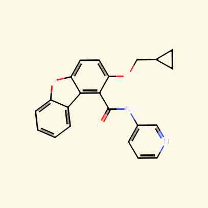 O=C(Nc1cccnc1)c1c(OCC2CC2)ccc2oc3ccccc3c12